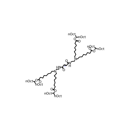 CCCCCCCCC(CCCCCCCC)OC(=O)CCCCCCCN(CCCCCCCC(=O)OC(CCCCCCCC)CCCCCCCC)CCNC(=O)/C=C/C(=O)NCCN(CCCCCCCC(=O)OC(CCCCCCCC)CCCCCCCC)CCCCCCCC(=O)OC(CCCCCCCC)CCCCCCCC